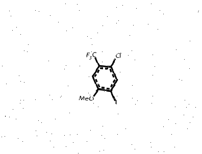 COc1cc(C(F)(F)F)c(Cl)cc1I